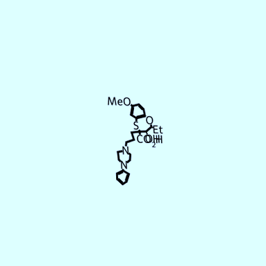 CC[C@@H]1Oc2ccc(OC)cc2SC(CCCN2CCN(c3ccccc3)CC2)(C(=O)O)[C@@H]1O